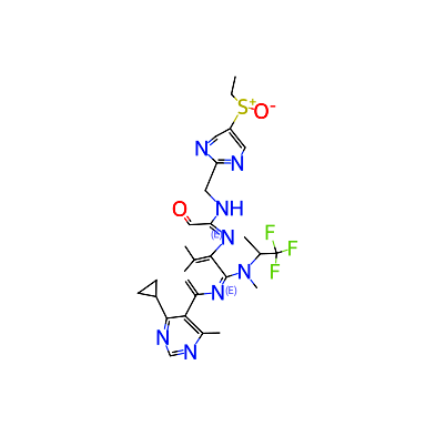 C=C(/N=C(\C(/N=C(\C=O)NCc1ncc([S+]([O-])CC)cn1)=C(C)C)N(C)C(C)C(F)(F)F)c1c(C)ncnc1C1CC1